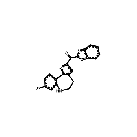 O=C(c1nc2ccccc2o1)c1cc2c(s1)-c1ccc(F)cc1NCC2